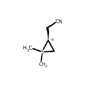 CS1(C)C[C@@H]1CC#N